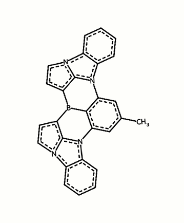 Cc1cc2c3c(c1)-n1c4ccccc4n4ccc(c14)B3c1ccn3c4ccccc4n-2c13